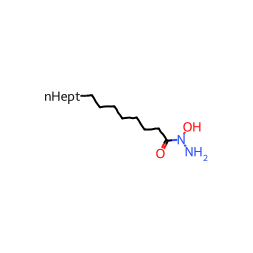 CCCCCCCCCCCCCCC(=O)N(N)O